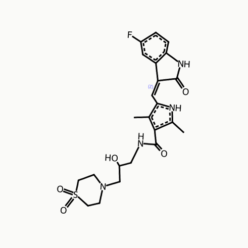 Cc1[nH]c(/C=C2\C(=O)Nc3ccc(F)cc32)c(C)c1C(=O)NCC(O)CN1CCS(=O)(=O)CC1